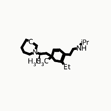 CCC1=C(CCNC(C)C)C=CC(C)(C[C@@H](C)N2CCCCCC2)C1